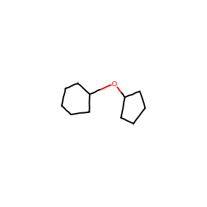 [CH]1CCC(OC2[CH]CCCC2)C1